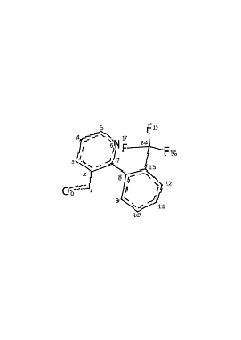 O=Cc1cccnc1-c1ccccc1C(F)(F)F